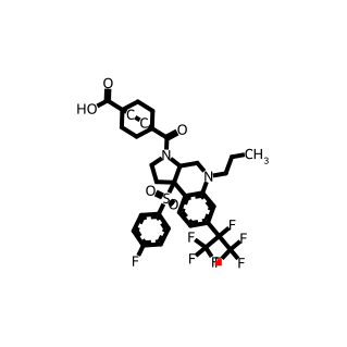 CCCN1CC2N(C(=O)C34CCC(C(=O)O)(CC3)CC4)CCC2(S(=O)(=O)c2ccc(F)cc2)c2ccc(C(F)(C(F)(F)F)C(F)(F)F)cc21